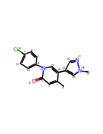 Cc1cc(=O)n(-c2ccc(Cl)cc2)cc1-c1cnn(C)c1